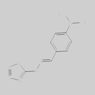 CN(C)c1ccc(/C=N/Nc2nnn[nH]2)cc1